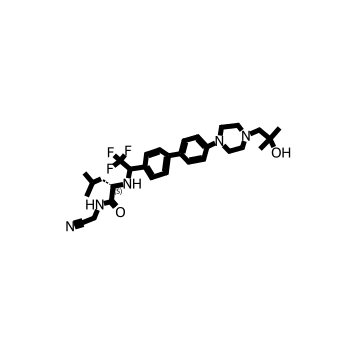 CC(C)C[C@H](NC(c1ccc(-c2ccc(N3CCN(CC(C)(C)O)CC3)cc2)cc1)C(F)(F)F)C(=O)NCC#N